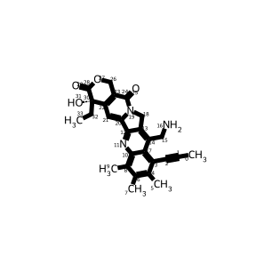 CC#Cc1c(C)c(C)c(C)c2nc3c(c(CN)c12)Cn1c-3cc2c(c1=O)COC(=O)[C@]2(O)CC